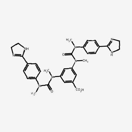 CN(C(=O)N(C)c1cc(C(=O)O)cc(N(C)C(=O)N(C)c2ccc(C3=NCCN3)cc2)c1)c1ccc(C2=NCCN2)cc1